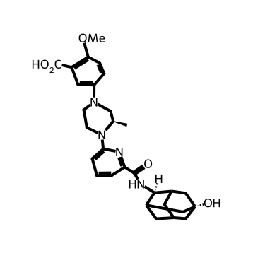 COc1ccc(N2CCN(c3cccc(C(=O)N[C@H]4C5CC6CC4C[C@](O)(C6)C5)n3)[C@H](C)C2)cc1C(=O)O